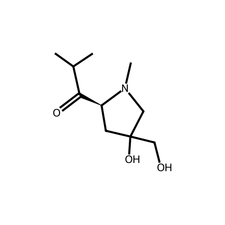 CC(C)C(=O)[C@@H]1CC(O)(CO)CN1C